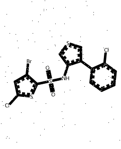 O=S(=O)(Nc1cscc1-c1ccccc1Cl)c1sc(Cl)cc1Br